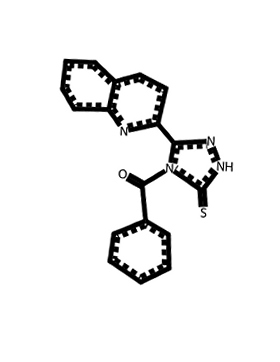 O=C(c1ccccc1)n1c(-c2ccc3ccccc3n2)n[nH]c1=S